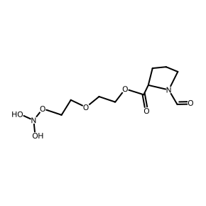 O=CN1CCCC1C(=O)OCCOCCON(O)O